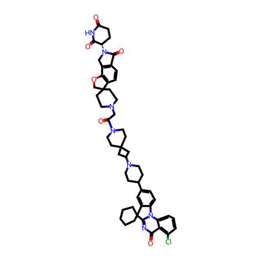 O=C1CC[C@H](N2Cc3c(ccc4c3OCC43CCN(CC(=O)N4CCC5(CC4)CC(N4CCC(c6ccc7c(c6)C6(CCCCC6)c6nc(=O)c8c(Cl)cccc8n6-7)CC4)C5)CC3)C2=O)C(=O)N1